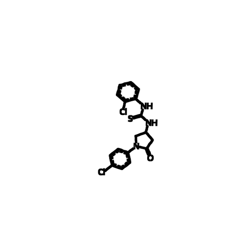 O=C1CC(NC(=S)Nc2ccccc2Cl)CN1c1ccc(Cl)cc1